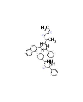 C=C(/C=C\C=C/C)c1nc(-c2ccccc2)nc(-c2ccc3ccccc3c2-c2ccc(C(=N)/C=C\C(=N)c3ccccc3)cc2)n1